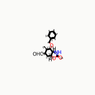 C[C@H]1[C@H](OCc2ccccc2)[C@H]2NC(=O)O[C@H]2C[C@@H]1C=O